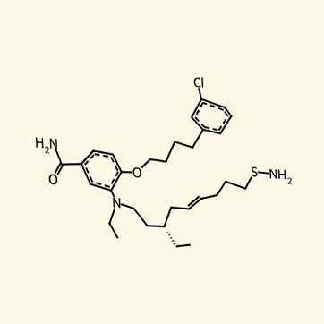 CC[C@@H](C/C=C/CCCSN)CCN(CC)c1cc(C(N)=O)ccc1OCCCCc1cccc(Cl)c1